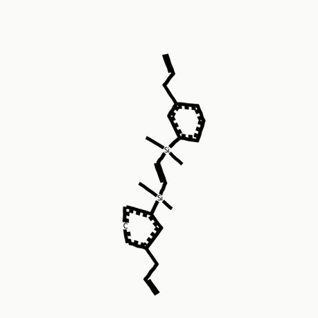 C=CCc1cccc([Si](C)(C)C=C[Si](C)(C)c2cccc(CC=C)c2)c1